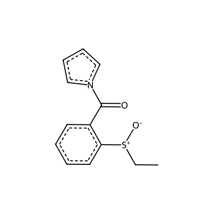 CC[S+]([O-])c1ccccc1C(=O)n1cccc1